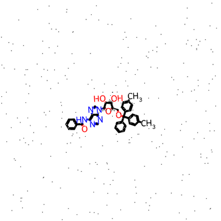 Cc1ccc(C(OC[C@H]2O[C@@H](n3cnc4c(NC(=O)c5ccccc5)ncnc43)C(O)[C@H]2O)(c2ccccc2)c2ccc(C)cc2)cc1